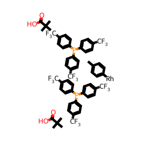 CC(C)(C)C(=O)O.CC(C)(C)C(=O)O.Cc1cc[c]([Rh])cc1.FC(F)(F)c1ccc(P(c2ccc(C(F)(F)F)cc2)c2ccc(C(F)(F)F)cc2)cc1.FC(F)(F)c1ccc(P(c2ccc(C(F)(F)F)cc2)c2ccc(C(F)(F)F)cc2)cc1